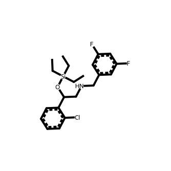 CC[Si](CC)(CC)OC(CNCc1cc(F)cc(F)c1)c1ccccc1Cl